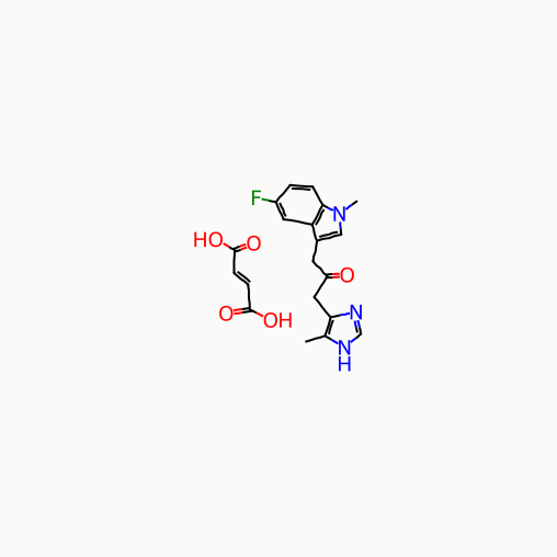 Cc1[nH]cnc1CC(=O)Cc1cn(C)c2ccc(F)cc12.O=C(O)C=CC(=O)O